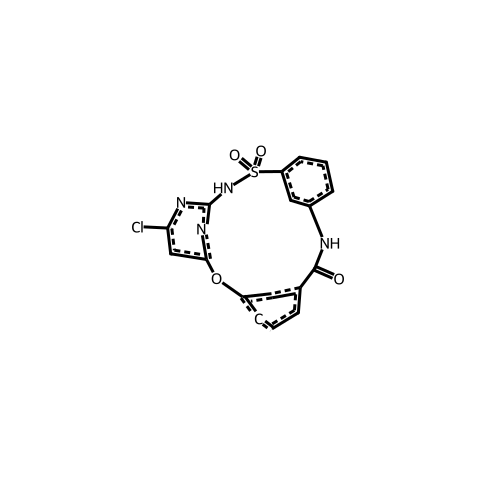 O=C1Nc2cccc(c2)S(=O)(=O)Nc2nc(Cl)cc(n2)Oc2cccc1c2